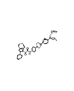 COCCN(C)c1ccc(N2CCN(c3ccc(NC(=O)C(=O)c4c(-c5ccccc5)cc5n4C=CCC=C5)cc3)CC2)cn1